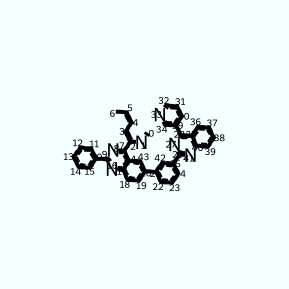 C=N/C(=C\C=C/C)c1nc(-c2ccccc2)nc2ccc(-c3cccc(-c4nc(-c5cccnc5)c5ccccc5n4)c3)cc12